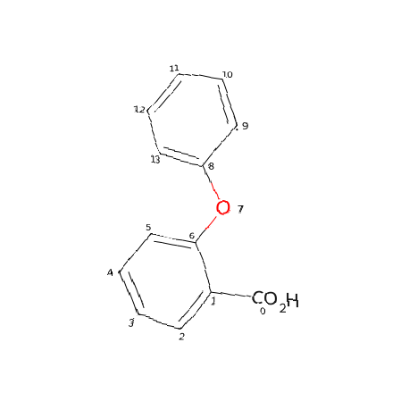 O=C(O)c1ccccc1Oc1[c]cccc1